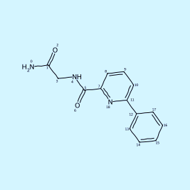 NC(=O)CNC(=O)c1cccc(-c2ccccc2)n1